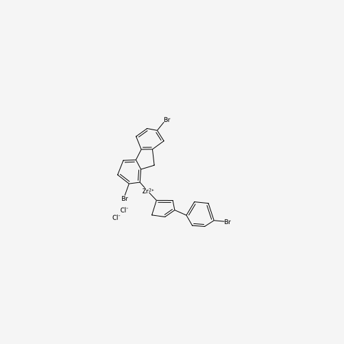 Brc1ccc(C2=CC[C]([Zr+2][c]3c(Br)ccc4c3Cc3cc(Br)ccc3-4)=C2)cc1.[Cl-].[Cl-]